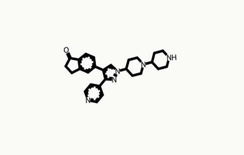 O=C1CCc2cc(-c3cn(C4CCN(C5CCNCC5)CC4)nc3-c3ccncc3)ccc21